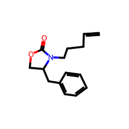 C=CCCCN1C(=O)OCC1Cc1ccccc1